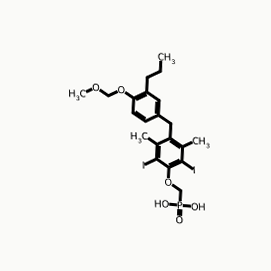 CCCc1cc(Cc2c(C)c(I)c(OCP(=O)(O)O)c(I)c2C)ccc1OCOC